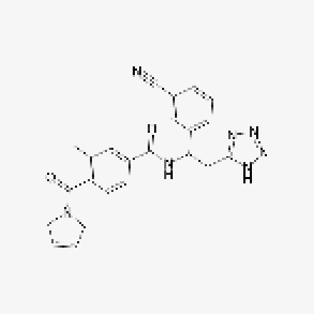 Cc1cc(C(=O)NC(Cc2nnn[nH]2)c2cccc(C#N)c2)ccc1C(=O)N1CC=CC1